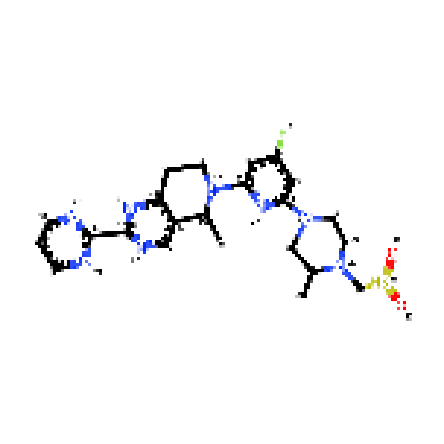 CC1CN(c2cc(F)cc(N3CCc4nc(-c5ncccn5)ncc4C3C)n2)CCN1C[SH](=O)=O